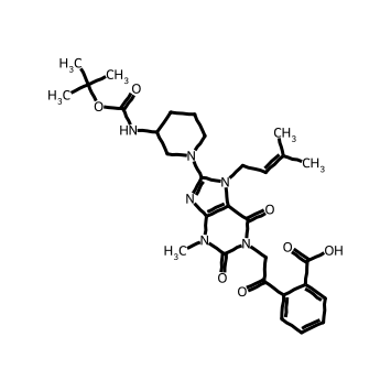 CC(C)=CCn1c(N2CCCC(NC(=O)OC(C)(C)C)C2)nc2c1c(=O)n(CC(=O)c1ccccc1C(=O)O)c(=O)n2C